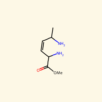 COC(=O)C(N)/C=C\C(C)N